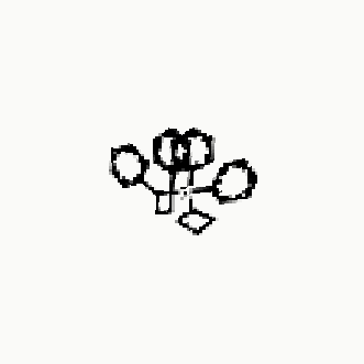 c1ccc(C2CCC2(c2ccccc2)[Si](c2ccccc2)(c2ccccc2)C2CCC2)cc1